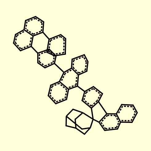 c1ccc(-c2cccc3cccc(-c4ccc(-c5c6ccccc6c(-c6ccc7c(c6)C6(c8ccc9ccccc9c8-7)C7CC8CC(C7)CC6C8)c6ccccc56)cc4)c23)cc1